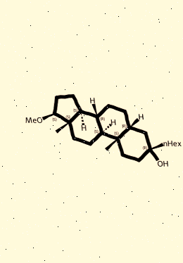 CCCCCC[C@@]1(O)CC[C@@]2(C)[C@H](CC[C@@H]3[C@@H]2CC[C@]2(C)[C@@H](OC)CC[C@@H]32)C1